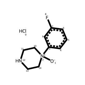 Cl.[O-][N+]1(c2cccc(F)c2)CCNCC1